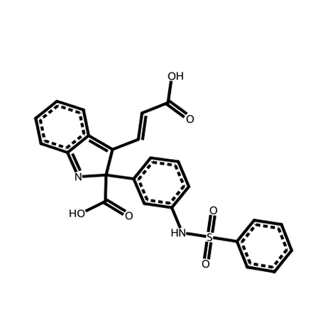 O=C(O)C=CC1=c2ccccc2=NC1(C(=O)O)c1cccc(NS(=O)(=O)c2ccccc2)c1